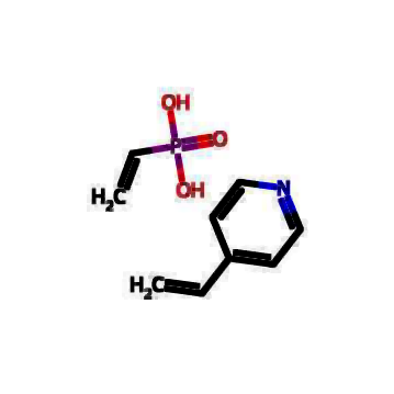 C=CP(=O)(O)O.C=Cc1ccncc1